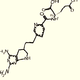 Nc1nc(N)c2c(n1)NCC(CCc1ccc(C(=O)N[C@@H](CCC(=O)O)C(=O)O)nc1)C2